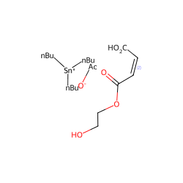 CC(=O)[O-].CCC[CH2][Sn+]([CH2]CCC)[CH2]CCC.O=C(O)/C=C\C(=O)OCCO